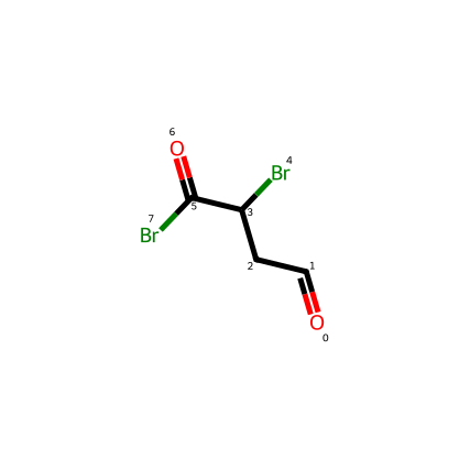 O=CCC(Br)C(=O)Br